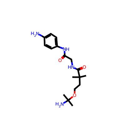 CC(C)(N)OCCC(C)(C)C(=O)NCC(=O)Nc1ccc(N)cc1